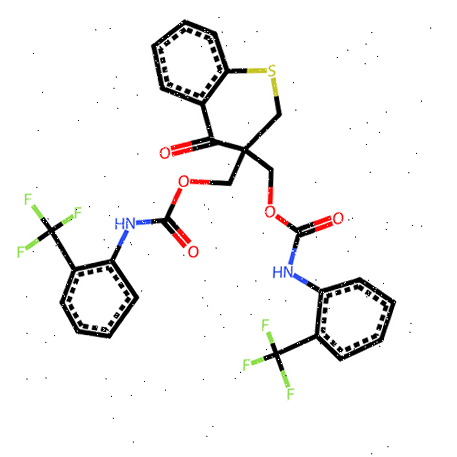 O=C(Nc1ccccc1C(F)(F)F)OCC1(COC(=O)Nc2ccccc2C(F)(F)F)CSc2ccccc2C1=O